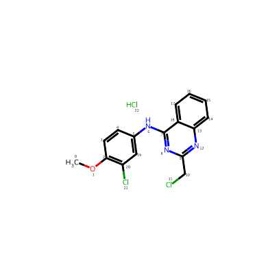 COc1ccc(Nc2nc(CCl)nc3ccccc23)cc1Cl.Cl